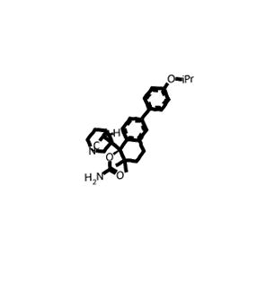 CC(C)Oc1ccc(-c2ccc3c(c2)CCC(C)(C)[C@]3(OC(N)=O)[C@@H]2CN3CCC2CC3)cc1